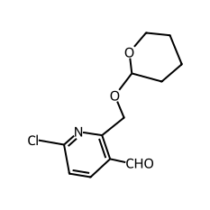 O=Cc1ccc(Cl)nc1COC1CCCCO1